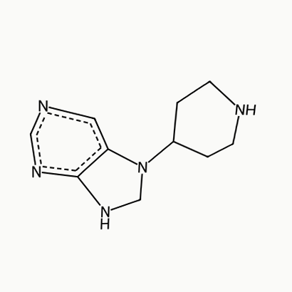 c1ncc2c(n1)NCN2C1CCNCC1